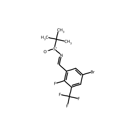 CC(C)(C)[S+]([O-])N=Cc1cc(Br)cc(C(F)(F)F)c1F